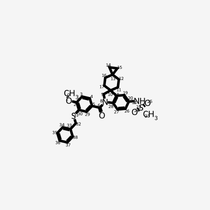 COc1ccc(C(=O)N2CC3(CCC4(CC4)CC3)c3cc(NS(C)(=O)=O)ccc32)cc1SCc1ccccc1